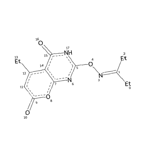 CCC(CC)=NOc1nc2oc(=O)cc(CC)c2c(=O)[nH]1